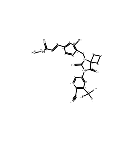 N#Cc1ncc(N2C(=O)N(Cc3ccc(/C=C/C(=O)NO)cc3F)C3(CCC3)C2=O)cc1C(F)(F)F